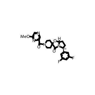 COc1cncc(C(=O)N2CCC3(CC2)O[C@@H]2CC[C@@H](c4cc(F)cc(F)c4)N2C3=O)n1